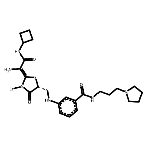 CCN1C(=O)[C@@H](CNc2cccc(C(=O)NCCCN3CCCC3)c2)S/C1=C(/N)C(=O)NC1CCC1